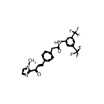 Cn1ccnc1C(=O)C=Cc1ccc(CC(=O)Nc2cc(C(F)(F)F)cc(C(F)(F)F)c2)cc1